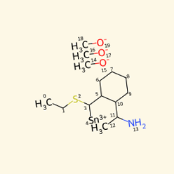 CCS[CH]([Sn+3])C1CCCCC1C(C)N.C[O-].C[O-].C[O-]